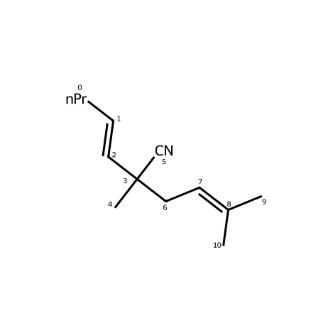 CCCC=CC(C)(C#N)CC=C(C)C